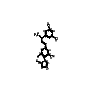 Cc1cc(/C=C/C(c2cc(Cl)cc(Cl)c2)C(F)(F)F)cc(C#N)c1N1C=NCN1C